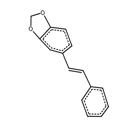 C(=C\c1ccc2c(c1)OCO2)/c1ccccc1